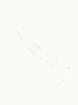 Cc1cc(N2c3ccccc3C=Cc3ccccc32)cc(C)c1-c1nnc(-c2c(C)cc(N3c4ccccc4S(c4ccccc4)(c4ccccc4)c4ccccc43)cc2C)nn1